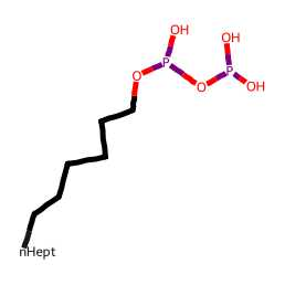 CCCCCCCCCCCCCOP(O)OP(O)O